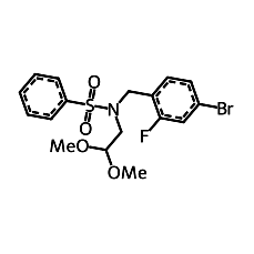 COC(CN(Cc1ccc(Br)cc1F)S(=O)(=O)c1ccccc1)OC